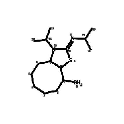 BC1CCCCCC2C1S/C(=N\C(C)C)N2C(C)C